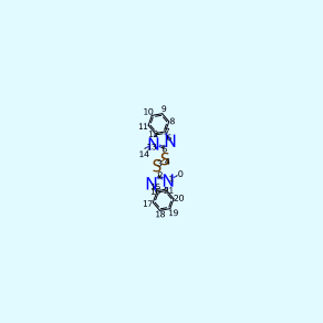 Cn1c(SSc2nc3ccccc3n2C)nc2ccccc21